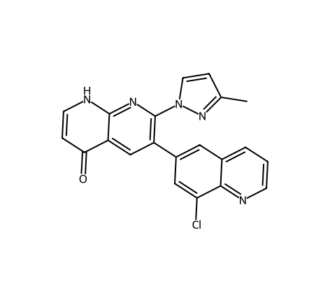 Cc1ccn(-c2nc3[nH]ccc(=O)c3cc2-c2cc(Cl)c3ncccc3c2)n1